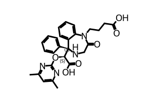 Cc1cc(C)nc(O[C@H](C(=O)O)[C@@]2(c3ccccc3)NCC(=O)N(CCCC(=O)O)c3ccccc32)n1